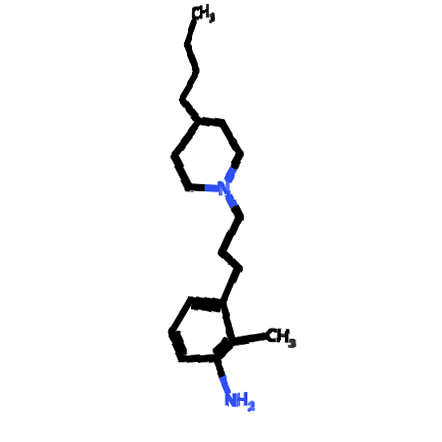 CCCCC1CCN(CCCc2cccc(N)c2C)CC1